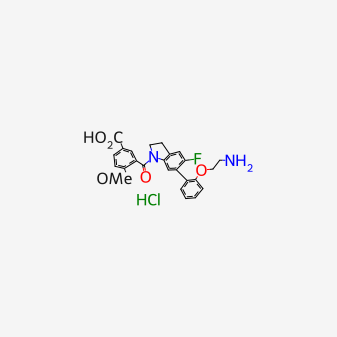 COc1ccc(C(=O)O)cc1C(=O)N1CCc2cc(F)c(-c3ccccc3OCCN)cc21.Cl